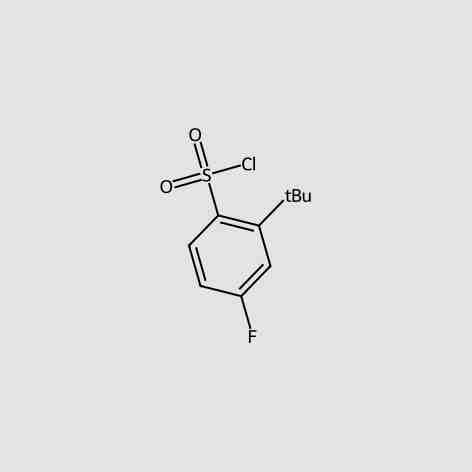 CC(C)(C)c1cc(F)ccc1S(=O)(=O)Cl